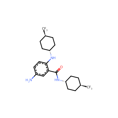 Nc1ccc(N[C@H]2CC[C@H](C(F)(F)F)CC2)c(C(=O)N[C@H]2CC[C@H](C(F)(F)F)CC2)c1